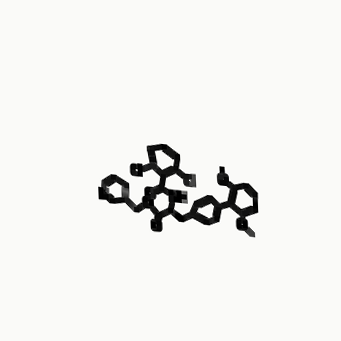 COc1cccc(OC)c1-c1ccc(C[C@H](NC(=O)c2c(Cl)cccc2Cl)C(=O)OCc2cccnc2)cc1